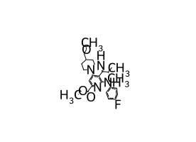 COCC1CCN(c2cc(C(=O)OC)nc(Nc3ccc(F)cc3)c2C(=N)C(C)C)CC1